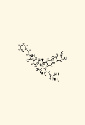 N=C(N)NCCCC(C(N)=O)n1c(-c2cccc(Oc3ccc(Cl)c(Cl)c3)c2)nc2cc(C(=O)NCCc3ccccn3)ccc21